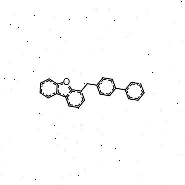 c1ccc(-c2ccc(Cc3cccc4c3oc3ccccc34)cc2)cc1